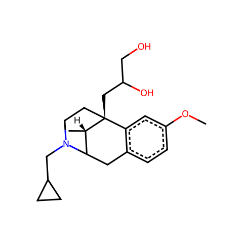 COc1ccc2c(c1)[C@@]1(CC(O)CO)CCN(CC3CC3)C(C2)[C@@H]1C